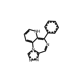 C1=CNC2=C(c3ccccc3)N=Cc3nncn3C2=C1